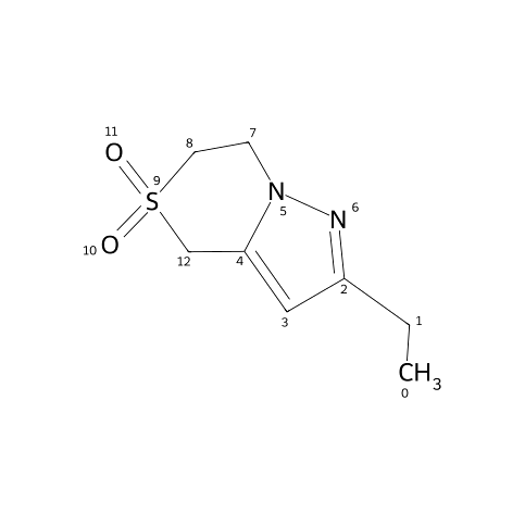 CCc1cc2n(n1)CCS(=O)(=O)C2